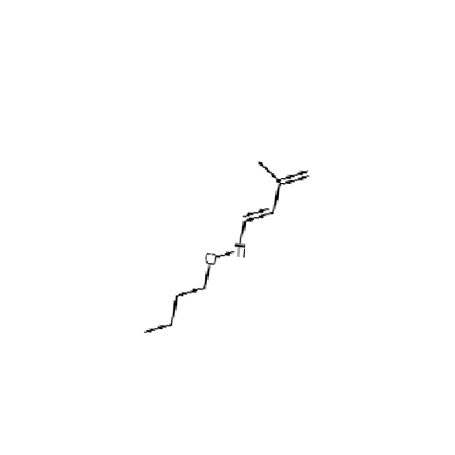 C=C(C)C=[CH][Ti][O]CCCC